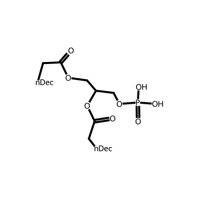 CCCCCCCCCCCC(=O)OCC(COP(=O)(O)O)OC(=O)CCCCCCCCCCC